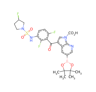 CC1(C)OB(c2cnc3c(c2)c(C(=O)c2c(F)ccc(NS(=O)(=O)N4CC[C@@H](F)C4)c2F)cn3C(=O)O)OC1(C)C